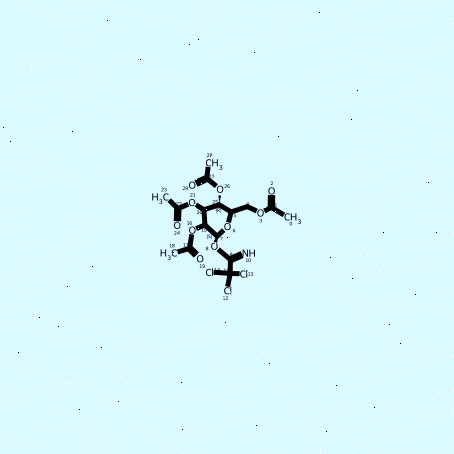 CC(=O)OCC1O[C@@H](OC(=N)C(Cl)(Cl)Cl)C(OC(C)=O)C(OC(C)=O)[C@@H]1OC(C)=O